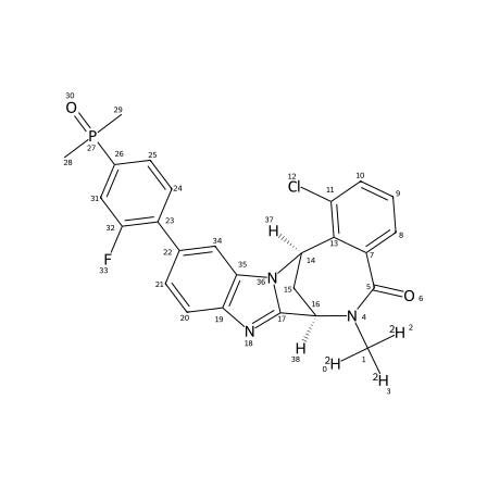 [2H]C([2H])([2H])N1C(=O)c2cccc(Cl)c2[C@H]2C[C@@H]1c1nc3ccc(-c4ccc(P(C)(C)=O)cc4F)cc3n12